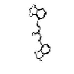 O=C(C=Cc1cccc2c1OCO2)C=Cc1cccc2c1OCO2